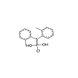 Cc1ccccc1S(c1ccccc1C)=P(O)(O)Cl